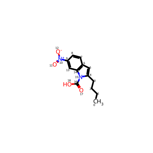 CCCCc1cc2ccc([N+](=O)[O-])cc2n1C(=O)O